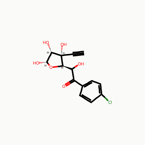 C#C[C@@]1(O)[C@@H](C(O)C(=O)c2ccc(Cl)cc2)O[C@H](O)[C@@H]1O